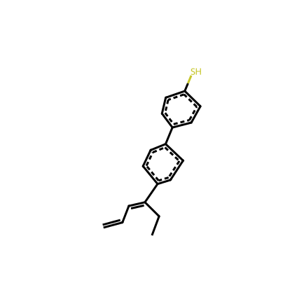 C=C/C=C(\CC)c1ccc(-c2ccc(S)cc2)cc1